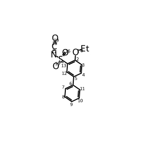 CCOc1ccc(-c2ccccc2)cc1S(=O)(=O)N=C=O